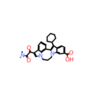 CN(C)C(=O)C(=O)c1cn2c3c(cccc13)-c1c(C3CCCCC3)c3ccc(C(=O)O)cc3n1CCC2